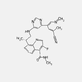 C=N/C=C(\C=C(/C)C#N)c1cc(NC[C@@H](C)c2cccc3c(C(=O)NC)c(F)cnc23)ncn1